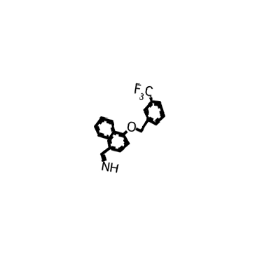 N=Cc1ccc(OCc2cccc(C(F)(F)F)c2)c2ccccc12